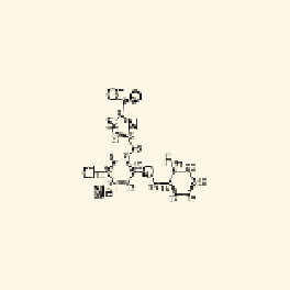 O=C([O-])c1nc(Cc2cc(Cl)ccc2OCc2ccccc2F)cs1.[Na+]